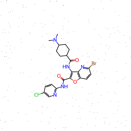 CN(C)C1CCC(C(=O)Nc2c(C(=O)Nc3ccc(Cl)cn3)oc3ccc(Br)nc23)CC1